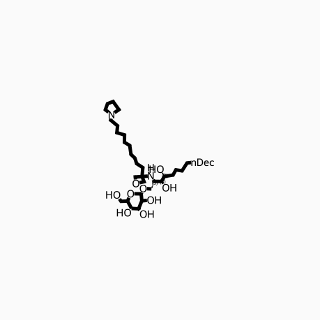 CCCCCCCCCCCCCC[C@@H](O)[C@@H](O)[C@H](COC1OC(CO)C(O)C(O)C1O)NC1(CCCCCCCCCCN2CCCC2)COC1